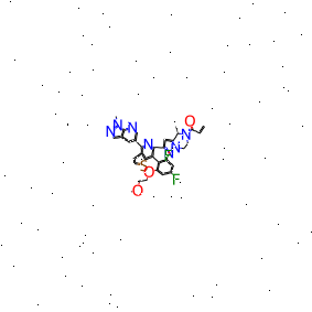 C=CC(=O)N1CCn2nc(-c3nc(-c4cnc5c(cnn5C)c4)c4ccsc4c3-c3c(F)cc(F)cc3OCCOC)cc2[C@H]1C